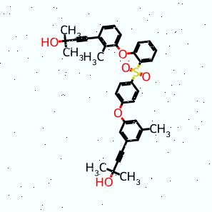 Cc1cc(C#CC(C)(C)O)cc(Oc2ccc(S(=O)(=O)c3ccccc3Oc3cccc(C#CC(C)(C)O)c3C)cc2)c1